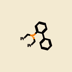 CC(C)CP(CC(C)C)c1ccccc1-c1ccccc1